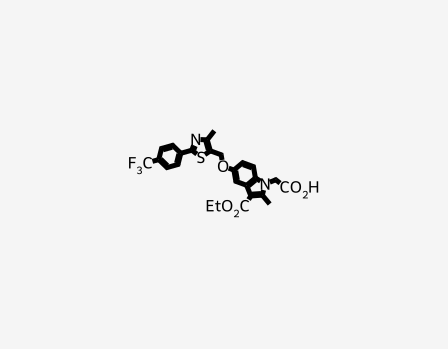 CCOC(=O)c1c(C)n(CC(=O)O)c2ccc(OCc3sc(-c4ccc(C(F)(F)F)cc4)nc3C)cc12